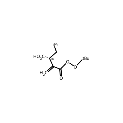 C=C(C(=O)OOC(C)(C)C)[C@@H](CC(C)C)C(=O)O